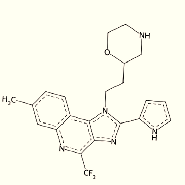 Cc1ccc2c(c1)nc(C(F)(F)F)c1nc(-c3ccc[nH]3)n(CCC3CNCCO3)c12